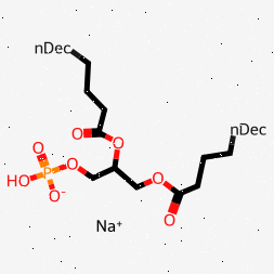 CCCCCCCCCCCCCC(=O)OCC(COP(=O)([O-])O)OC(=O)CCCCCCCCCCCCC.[Na+]